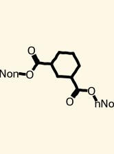 CCCCCCCCCOC(=O)C1CCCC(C(=O)OCCCCCCCCC)C1